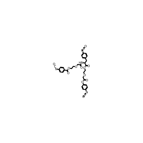 O=C=Nc1ccc(CC(NC(=O)COCCOC(=O)c2ccc(N=C=O)cc2)C(=O)OCCOCC(=O)Oc2ccc(N=C=O)cc2)cc1